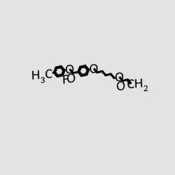 C=CC(=O)OCCCCCOc1ccc(C(=O)Oc2ccc(C)cc2F)cc1